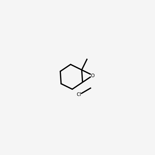 CC12CCCCC1O2.CCl